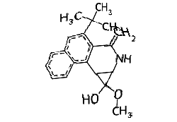 C=C1NC2C(c3c1c(C(C)(C)C)cc1ccccc31)C2(O)OC